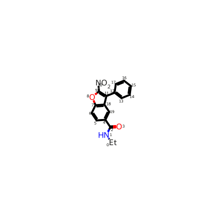 CCNC(=O)c1ccc2oc([N+](=O)[O-])c(-c3ccccc3)c2c1